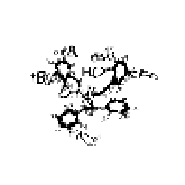 CC(C)(C)c1cc(C=[N][Co]2([N]=Cc3cc(C(C)(C)C)cc(C(C)(C)C)c3O)[C@H](c3ccccc3)[C@H]2c2ccccc2)c(O)c(C(C)(C)C)c1.Cl